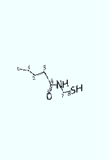 CCCCC(=O)NCS